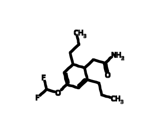 CCCC1=CC(OC(F)F)=CC(CCC)C1CC(N)=O